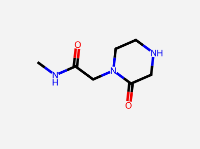 CNC(=O)CN1CCNCC1=O